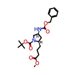 COC(=O)CCC[C@@H]1C[C@H](NC(=O)OCc2ccccc2)CN1C(=O)OC(C)(C)C